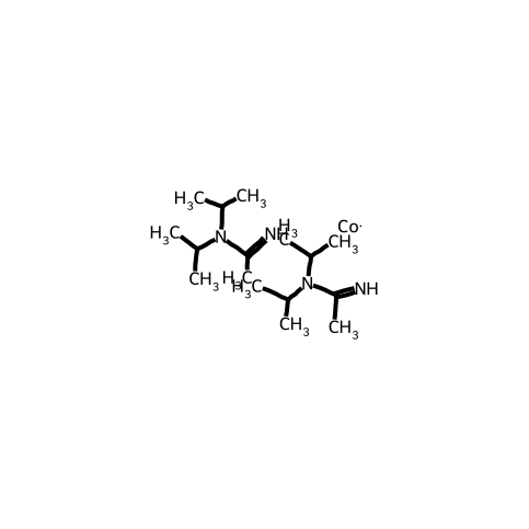 CC(=N)N(C(C)C)C(C)C.CC(=N)N(C(C)C)C(C)C.[Co]